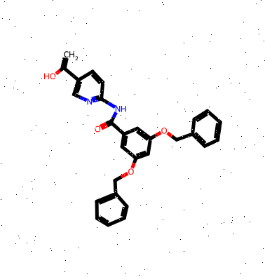 C=C(O)c1ccc(NC(=O)c2cc(OCc3ccccc3)cc(OCc3ccccc3)c2)nc1